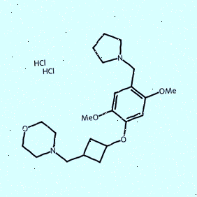 COc1cc(OC2CC(CN3CCOCC3)C2)c(OC)cc1CN1CCCC1.Cl.Cl